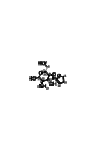 N[C@H]1C(O)O[C@H](CO)[C@@H](O)[C@@H]1O.c1ccoc1